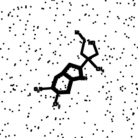 CCSCC(C)(CO)c1cc2cc([N+](=O)[O-])c(C(F)(F)F)cc2[nH]1